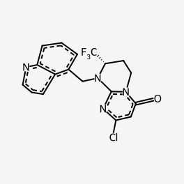 O=c1cc(Cl)nc2n1CC[C@@H](C(F)(F)F)N2Cc1cccc2ncccc12